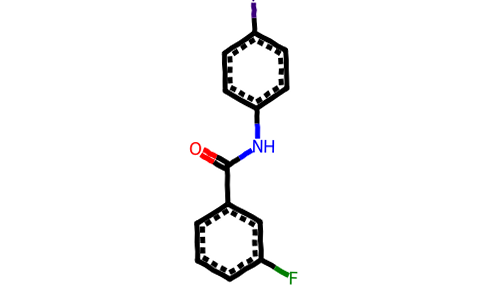 O=C(Nc1ccc(I)cc1)c1cccc(F)c1